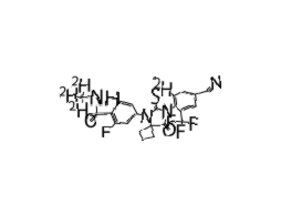 [2H]c1cc(C#N)cc(C(F)(F)F)c1N1C(=O)C2(CCC2)N(c2ccc(C(=O)NC([2H])([2H])[2H])c(F)c2)C1=S